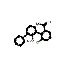 C=C(C)c1cccc(Cl)c1-c1cccc(-c2ccccc2)c1OC